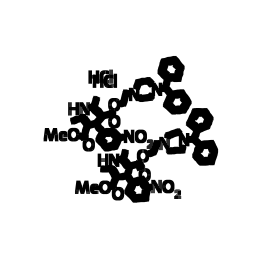 COC(=O)C1=C(C)NC(C)=C(C(=O)OCCN2CCN(C(c3ccccc3)c3ccccc3)CC2)C1c1cccc([N+](=O)[O-])c1.COC(=O)C1=C(C)NC(C)=C(C(=O)OCCN2CCN(C(c3ccccc3)c3ccccc3)CC2)C1c1cccc([N+](=O)[O-])c1.Cl.Cl